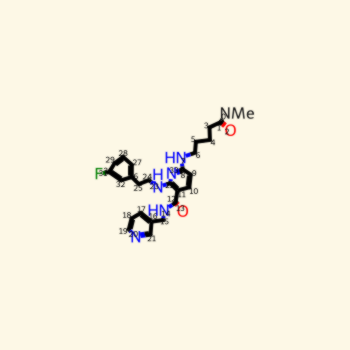 CNC(=O)CCCCNc1ccc(C(=O)NCc2cccnc2)c(NCCc2cccc(F)c2)n1